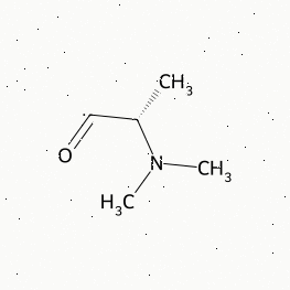 C[C@@H]([C]=O)N(C)C